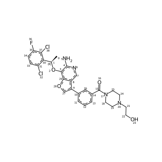 C[C@@H](Oc1c(N)ncc2c(-c3cccc(C(=O)N4CCN(CCO)CC4)c3)coc12)c1c(Cl)ccc(F)c1Cl